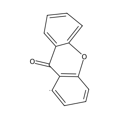 O=c1c2[c]cccc2oc2ccccc12